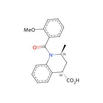 COc1ccccc1C(=O)N1c2ccccc2[C@@H](C(=O)O)C[C@@H]1C